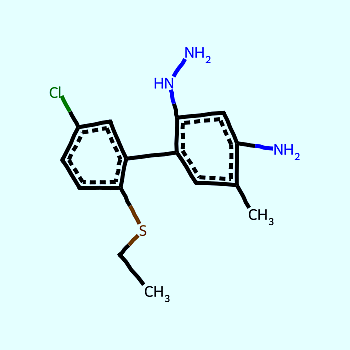 CCSc1ccc(Cl)cc1-c1cc(C)c(N)cc1NN